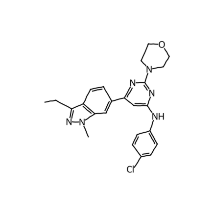 CCc1nn(C)c2cc(-c3cc(Nc4ccc(Cl)cc4)nc(N4CCOCC4)n3)ccc12